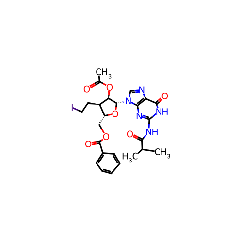 CC(=O)O[C@@H]1[C@H](CCI)[C@@H](COC(=O)c2ccccc2)O[C@H]1n1cnc2c(=O)[nH]c(NC(=O)C(C)C)nc21